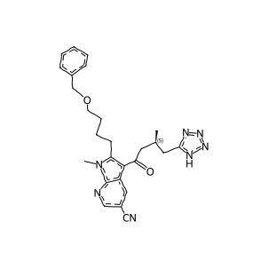 C[C@H](CC(=O)c1c(CCCCOCc2ccccc2)n(C)c2ncc(C#N)cc12)Cc1nnn[nH]1